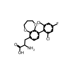 NC(Cc1ccc(-c2c(Cl)cc(F)cc2Cl)c2c1OCCCO2)C(=O)O